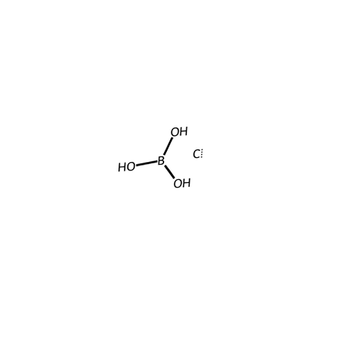 OB(O)O.[C]